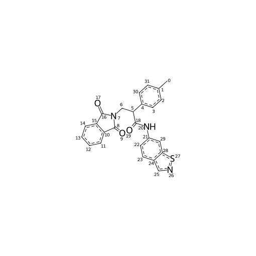 Cc1ccc(C(CN2C(=O)c3ccccc3C2=O)C(=O)Nc2ccc3cnsc3c2)cc1